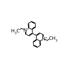 CC[n+]1ccc(-c2cc[n+](CC)c3ccccc23)c2ccccc21